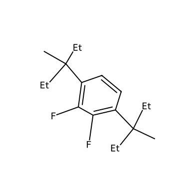 CCC(C)(CC)c1ccc(C(C)(CC)CC)c(F)c1F